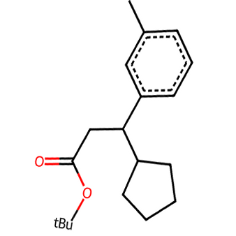 Cc1cccc(C(CC(=O)OC(C)(C)C)C2CCCC2)c1